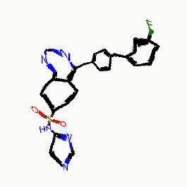 O=S(=O)(Nc1ccncn1)c1ccc2c(-c3ccc(-c4cccc(F)c4)cc3)ncnc2c1